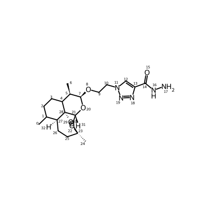 CC1CCC2[C@@H](C)[C@@H](OCCn3cc(C(=O)NN)nn3)O[C@@H]3O[C@]4(C)CC[C@@H]1[C@@]23OO4